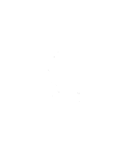 O=C(O)CCCC(=O)N1CCN(c2cccc3c2C(=O)N(C2CCC(=O)NC2=O)C3=O)CC1